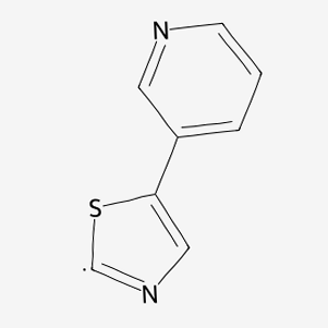 [c]1ncc(-c2cccnc2)s1